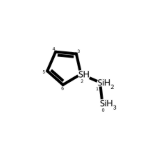 [SiH3][SiH2][SH]1C=CC=C1